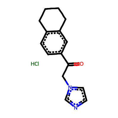 Cl.O=C(Cn1ccnc1)c1ccc2c(c1)CCCC2